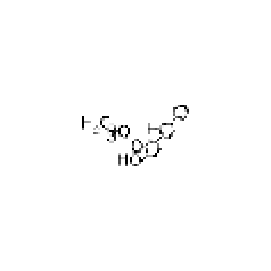 C=CC(=O)OCCOc1cc(-c2ccc(-c3ccccc3)cc2F)ccc1CO